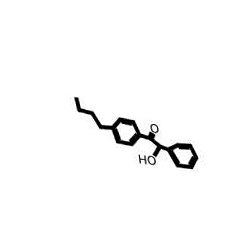 CCCCc1ccc(C(=O)C(O)c2ccccc2)cc1